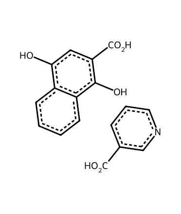 O=C(O)c1cc(O)c2ccccc2c1O.O=C(O)c1cccnc1